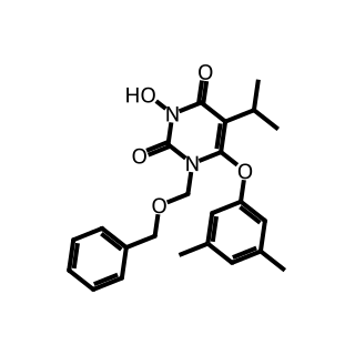 Cc1cc(C)cc(Oc2c(C(C)C)c(=O)n(O)c(=O)n2COCc2ccccc2)c1